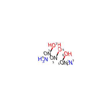 N.O=NO.O=NO.O=NO.[N]